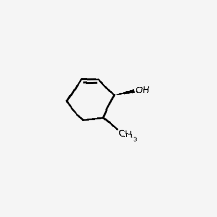 CC1CCC=C[C@H]1O